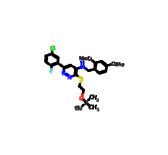 COc1ccc(CNc2cc(-c3cc(Cl)ccc3F)nnc2SCCO[Si](C)(C)C(C)(C)C)c(OC)c1